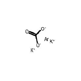 O=C([O-])[O-].[Ar].[K+].[K+]